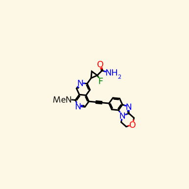 CNc1ncc(C#Cc2ccc3nc4n(c3c2)CCOC4)c2cc(C3CC3(F)C(N)=O)ncc12